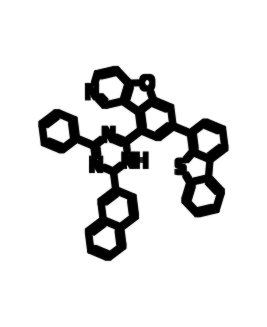 c1ccc(C2=NC(c3ccc4ccccc4c3)NC(c3cc(-c4cccc5c4sc4ccccc45)cc4oc5ccncc5c34)=N2)cc1